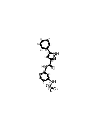 CS(=O)(=O)Nc1cccc(NC(=O)c2cc(-c3ccccc3)[nH]n2)c1